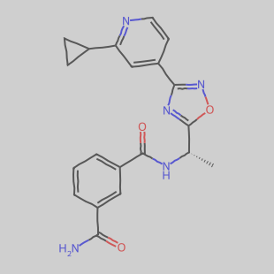 C[C@H](NC(=O)c1cccc(C(N)=O)c1)c1nc(-c2ccnc(C3CC3)c2)no1